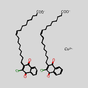 O=C([O-])CCCCCCC/C=C\CCCCCCCCC1=C(Cl)C(=O)c2ccccc2C1=O.O=C([O-])CCCCCCC/C=C\CCCCCCCCC1=C(Cl)C(=O)c2ccccc2C1=O.[Cu+2]